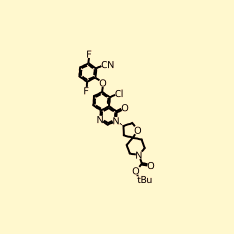 CC(C)(C)OC(=O)N1CCC2(CC1)C[C@H](n1cnc3ccc(Oc4c(F)ccc(F)c4C#N)c(Cl)c3c1=O)CO2